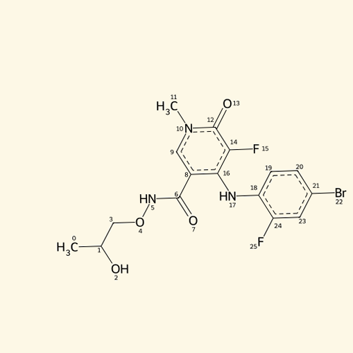 CC(O)CONC(=O)c1cn(C)c(=O)c(F)c1Nc1ccc(Br)cc1F